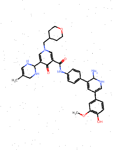 COc1cc(C2=CNC(N)C(c3ccc(NC(=O)c4cn(CC5CCOCC5)cc(C5NC=C(C)CN5)c4=O)cc3)=C2)ccc1O